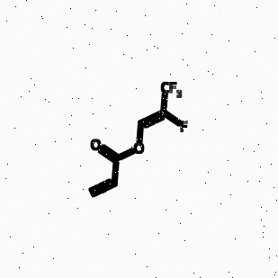 C=CC(=O)OC=C(F)C(F)(F)F